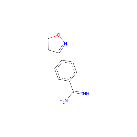 C1=NOCC1.N=C(N)c1ccccc1